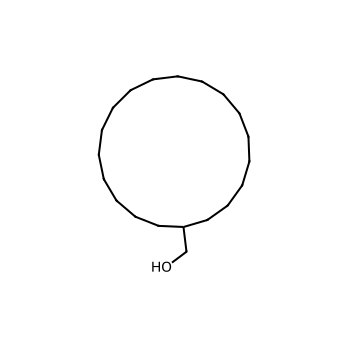 OCC1CCCCCCCCCCCCCCCCCC1